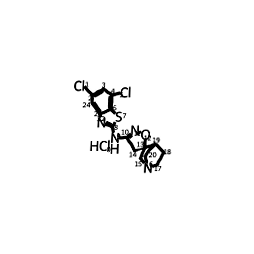 Cl.Clc1cc(Cl)c2sc(NC3=NO[C@@]4(C3)CN3CCC4CC3)nc2c1